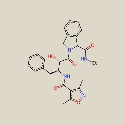 CCNC(=O)C1c2ccccc2CN1C(=O)[C@@H](O)[C@H](Cc1ccccc1)NC(=O)c1c(C)noc1C